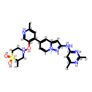 Cc1cc(-c2ccn3nc(Nc4cc(C)nc(C)n4)cc3c2)c(ON2CCS(=O)(=O)C(C)C2)cn1